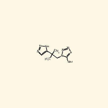 CC(C)(C)c1nnnn1CC(C)(C)c1cnn[nH]1